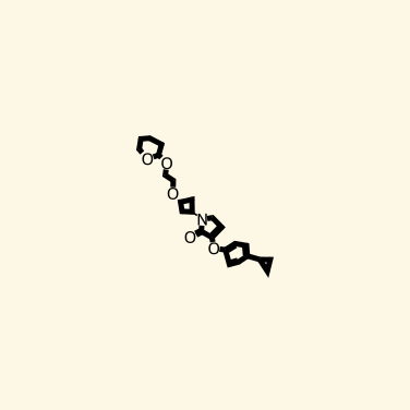 O=C1C(Oc2ccc(C3CC3)cc2)=CCN1[C@H]1C[C@@H](OCCOC2CCCCO2)C1